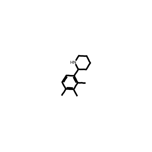 Cc1ccc(C2CCCCN2)c(C)c1C